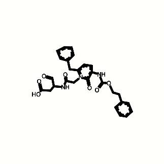 O=CC(CC(=O)O)NC(=O)Cn1c(Cc2ccccc2)ccc(NC(=O)OCCc2ccccc2)c1=O